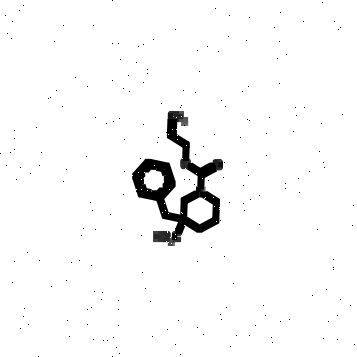 C=CCOC(=O)N1CCCC(Cc2ccccc2)(C(=O)O)C1